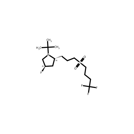 CC(C)(C)N1C[C@H](F)C[C@H]1CCCS(=O)(=O)CCCC(F)(F)F